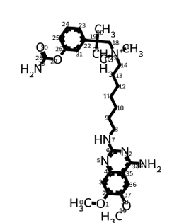 COc1cc2nc(NCCCCCCC[N+](C)(C)CC(C)(C)c3cccc(OC(N)=O)c3)nc(N)c2cc1OC